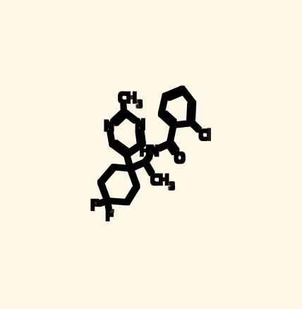 Cc1ncc(C2(C(C)NC(=O)c3ccccc3Cl)CCC(F)(F)CC2)cn1